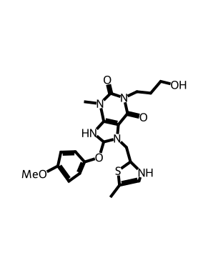 COc1ccc(OC2Nc3c(c(=O)n(CCCO)c(=O)n3C)N2CC2NC=C(C)S2)cc1